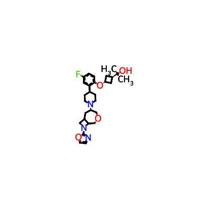 CC(C)(O)[C@H]1C[C@H](Oc2ccc(F)cc2C2CCN([C@@H]3COCC4C(C3)CN4c3ncco3)CC2)C1